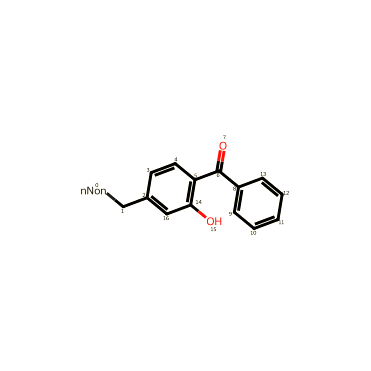 CCCCCCCCCCc1ccc(C(=O)c2ccccc2)c(O)c1